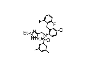 CCn1nnc(CN(c2ccc(Cl)cc2Cc2c(F)cccc2F)S(=O)(=O)C2C=C(C)C=C(C)C2)n1